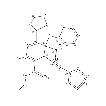 CCOC(=O)C1=C(C)N=C(C2CCCC2)C(Cc2ccccc2)(C(=O)O)C1C#Cc1ccccc1